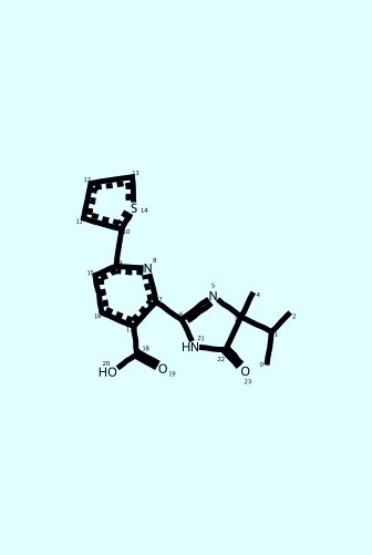 CC(C)C1(C)N=C(c2nc(-c3cccs3)ccc2C(=O)O)NC1=O